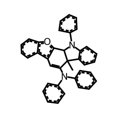 CC12C(N(c3ccccc3)c3ccccc3)=Cc3c(oc4ccccc34)C1N(c1ccccc1)c1ccccc12